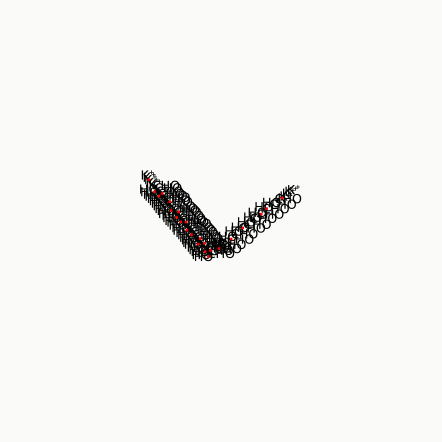 O=CO.O=CO.O=CO.O=CO.O=CO.O=CO.O=CO.O=CO.O=CO.O=CO.O=CO.O=CO.O=CO.O=CO.O=CO.O=CO.O=CO.O=CO.O=CO.O=CO.O=CO.O=CO.O=CO.O=CO.O=CO.O=CO.O=CO.O=CO.O=CO.O=CO.O=[C-]O.O=[C-]O.O=[C-]O.O=[C-]O.O=[C-]O.O=[C-]O.O=[C-]O.O=[C-]O.O=[C-]O.O=[C-]O.[K+].[K+].[K+].[K+].[K+].[K+].[K+].[K+].[K+].[K+]